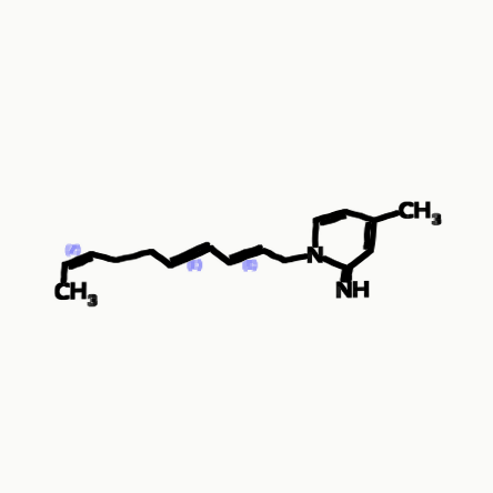 C/C=C\CC/C=C/C=C/Cn1ccc(C)cc1=N